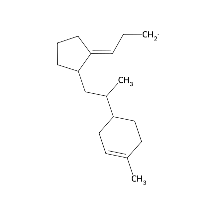 [CH2]CC=C1CCCC1CC(C)C1CC=C(C)CC1